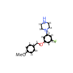 COc1ccc(COc2cc(F)cc(N3CCNCC3)c2)cc1